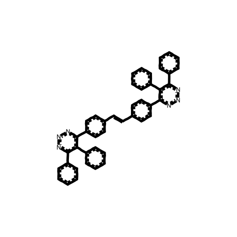 C(=C\c1ccc(-c2nnnc(-c3ccccc3)c2-c2ccccc2)cc1)/c1ccc(-c2nnnc(-c3ccccc3)c2-c2ccccc2)cc1